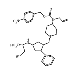 C=CCN(C(=O)OCc1ccc([N+](=O)[O-])cc1)C1CCN(CC2CC(N[C@@H](CC(C)C)C(=O)O)CC2c2ccccc2)CC1